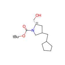 CC(C)(C)OC(=O)N1CC(CC2CCCC2)C[C@H]1CO